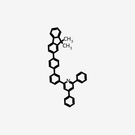 CC1(C)c2ccccc2-c2ccc(-c3ccc(-c4cccc(-c5cc(-c6ccccc6)cc(-c6ccccc6)n5)c4)cc3)cc21